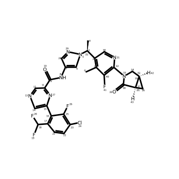 Cc1c([C@H](C)n2cc(NC(=O)c3cncc(-c4c(C(F)F)ccc(Cl)c4F)n3)cn2)cnc(N2C[C@H]3C[C@H]3C2=O)c1F